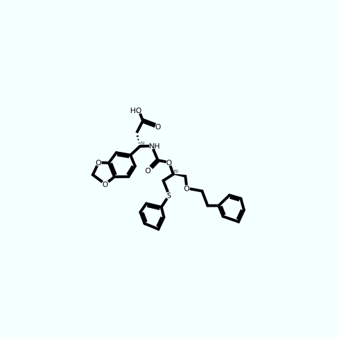 O=C(O)C[C@H](NC(=O)O[C@@H](COCCc1ccccc1)CSc1ccccc1)c1ccc2c(c1)OCO2